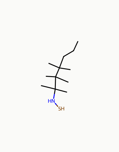 CCCC(C)(C)C(C)(C)C(C)(C)NS